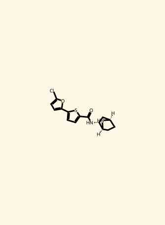 O=C(N[C@@H]1C[C@H]2CC[C@@H]1N2)c1ccc(-c2ccc(Cl)o2)s1